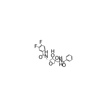 O=C(NC[C@H]1OC[C@@](O)(CNC(=O)c2ccccc2)[C@@H]1O)c1ccc(F)c(F)c1